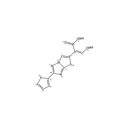 CO/C=C(\C(=O)OC)c1cn2nc(-c3cccs3)nc2s1